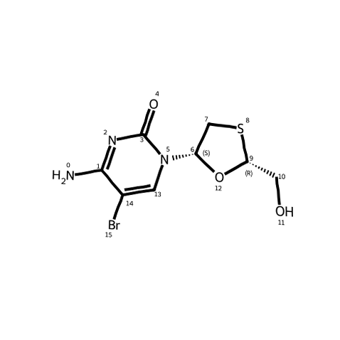 Nc1nc(=O)n([C@@H]2CS[C@H](CO)O2)cc1Br